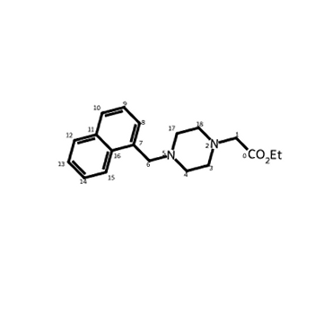 CCOC(=O)CN1CCN(Cc2cccc3ccccc23)CC1